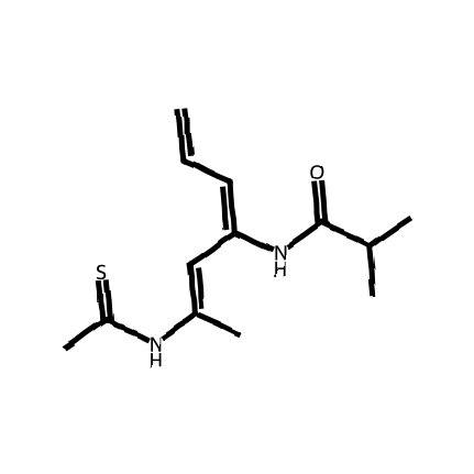 C=C/C=C(\C=C(/C)NC(C)=S)NC(=O)C(C)C